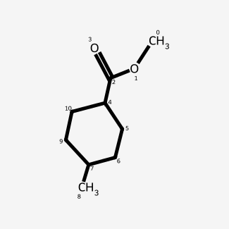 COC(=O)[C]1CCC(C)CC1